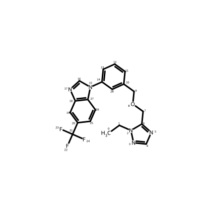 CCn1ncnc1COCc1cccc(-n2cnc3cc(C(F)(F)F)ccc32)c1